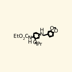 CCOC(=O)Nc1ccc(NCc2ccc3c(c2)OCO3)cc1OC(C)C